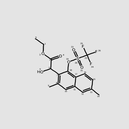 CCOC(=O)C(O)c1c(C)cc2cc(C)ccc2c1OS(=O)(=O)C(F)(F)F